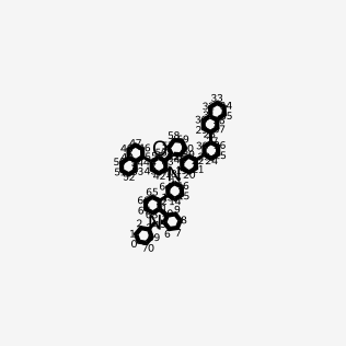 c1ccc(-n2c3ccccc3c3c(-c4cccc(N(c5ccc(-c6cccc(-c7ccc8ccccc8c7)c6)cc5)c5ccc(-c6cccc7ccccc67)c6oc7ccccc7c56)c4)cccc32)cc1